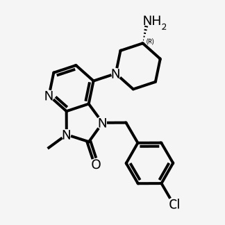 Cn1c(=O)n(Cc2ccc(Cl)cc2)c2c(N3CCC[C@@H](N)C3)ccnc21